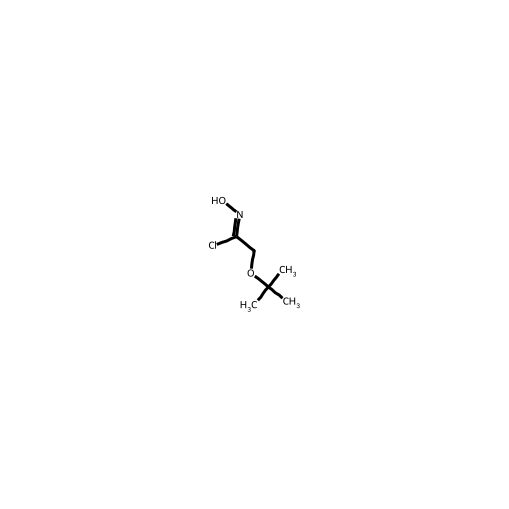 CC(C)(C)OCC(Cl)=NO